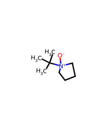 CC(C)(C)[N+]1([O-])CCCC1